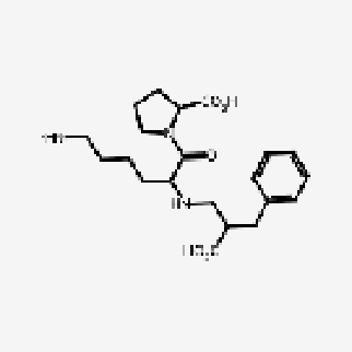 [NH]CCCCC(NCC(Cc1ccccc1)C(=O)O)C(=O)N1CCCC1C(=O)O